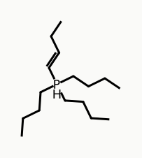 CC/C=C/[PH](CCCC)(CCCC)CCCC